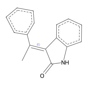 C/C(=C1\C(=O)Nc2ccccc21)c1ccccc1